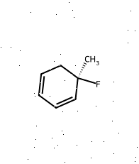 C[C@]1(F)C=CC=CC1